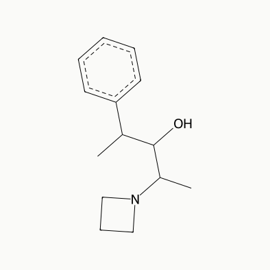 CC(c1ccccc1)C(O)C(C)N1CCC1